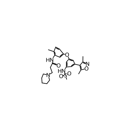 Cc1ccc(Oc2cc(NS(C)(=O)=O)cc(-c3c(C)noc3C)c2)cc1NC(=O)CCN1CCCCC1